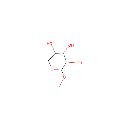 COC1OCC(O)[C@H](O)C1O